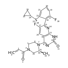 C=CC(=O)N1CCN(c2nc(=O)[nH]c3nc(-c4c(F)cccc4SC4CC4)c(F)cc23)[C@@H](C)C1